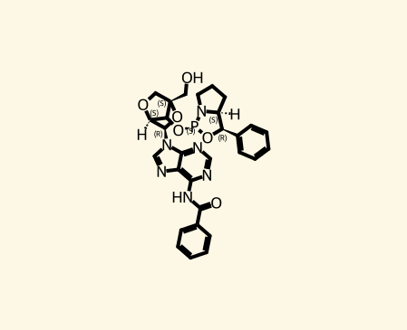 O=C(Nc1ncnc2c1ncn2[C@@H]1O[C@@]2(CO)CO[C@H]1C2O[P@@]1O[C@H](c2ccccc2)[C@@H]2CCCN21)c1ccccc1